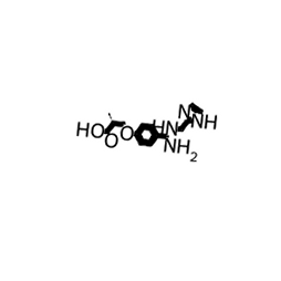 C[C@H](COc1ccc(C(N)NCc2ncc[nH]2)cc1)C(=O)O